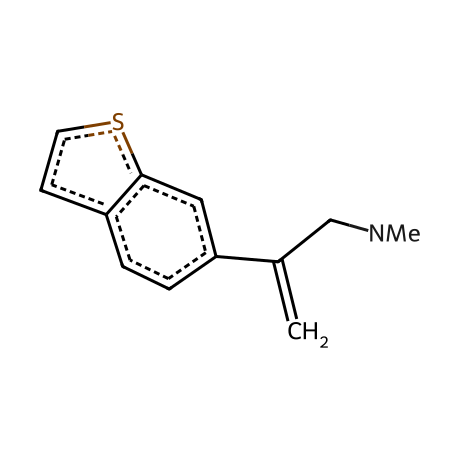 C=C(CNC)c1ccc2ccsc2c1